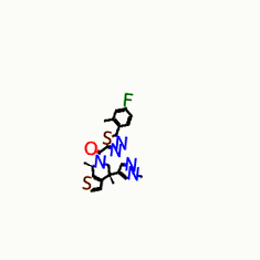 Cc1cc(F)ccc1-c1nnc(C(=O)N2C[C@](C)(c3cnn(C)c3)c3ccsc3[C@H]2C)s1